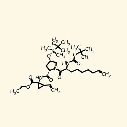 C=CCCCCC[C@H](NC(=O)OC(C)(C)C)C(=O)N1C[C@H](O[Si](C)(C)C(C)(C)C)C[C@H]1C(=O)N[C@]1(C(=O)OCC)CC1C=C